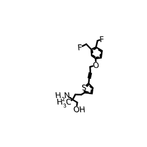 CC(N)(CO)CCc1ccc(C#CCOc2ccc(CF)c(CF)c2)s1